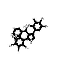 Cc1c(F)c(F)cc(-c2csc(-c3cc(F)c(F)c(C)c3F)c2C(O)c2cccnc2)c1F